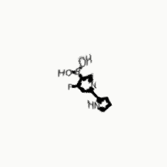 OB(O)c1cnc(-c2ccc[nH]2)cc1F